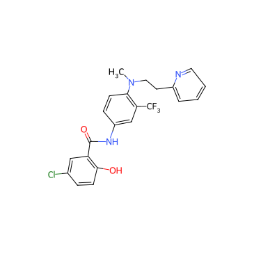 CN(CCc1ccccn1)c1ccc(NC(=O)c2cc(Cl)ccc2O)cc1C(F)(F)F